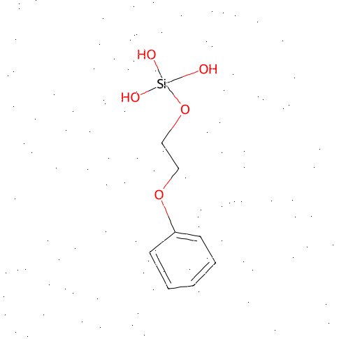 O[Si](O)(O)OCCOc1ccccc1